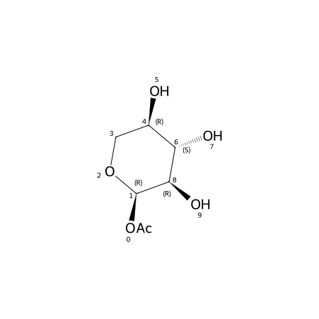 CC(=O)O[C@H]1OC[C@@H](O)[C@H](O)[C@H]1O